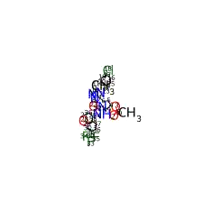 CC(=O)O[C@@H]1C[C@H](c2nnc(C)n2Cc2ccc(Cl)cc2)N(C(=O)NC2CCOc3cc(C(F)(F)F)ccc32)C1